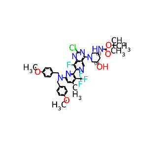 COc1ccc(CN(Cc2ccc(OC)cc2)c2cc(C)c(C(F)(F)F)c(-c3ncc4c(N5C[C@@H](O)C[C@H](NC(=O)OC(C)(C)C)C5)nc(Cl)nc4c3F)n2)cc1